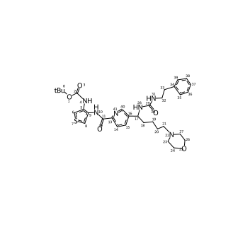 CC(C)(C)OC(=O)Nc1cscc1NC(=O)c1ccc(C(CCCCN2CCOCC2)NC(=O)NCCc2ccccc2)cn1